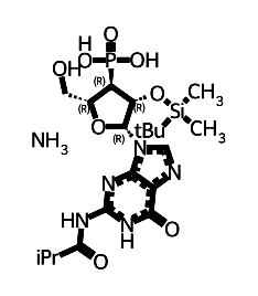 CC(C)C(=O)Nc1nc2c(ncn2[C@@H]2O[C@H](CO)[C@@H](P(=O)(O)O)[C@@H]2O[Si](C)(C)C(C)(C)C)c(=O)[nH]1.N